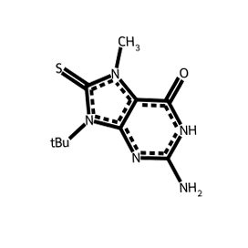 Cn1c(=S)n(C(C)(C)C)c2nc(N)[nH]c(=O)c21